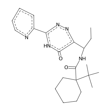 CCC(NC(=O)C1(C(C)(C)C)CCCCC1)c1nnc(-c2ccccn2)[nH]c1=O